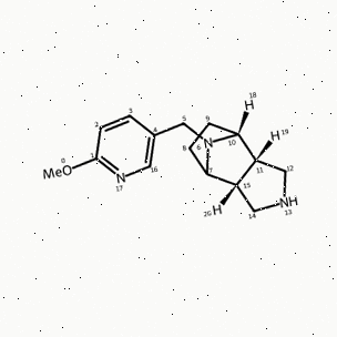 COc1ccc(CN2C3CC[C@@H]2[C@@H]2CNC[C@H]32)cn1